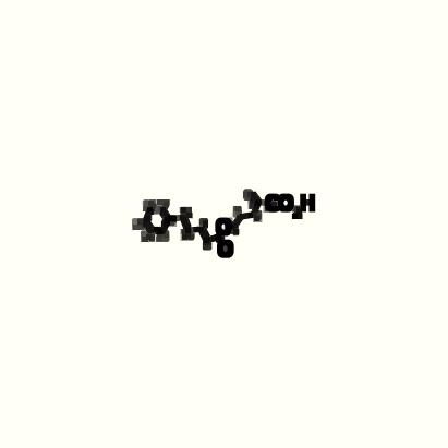 C=C(CCCOC(=O)C=CC=Cc1ccccc1)C(=O)O